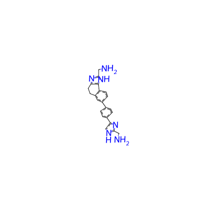 NCc1nc(-c2ccc(-c3ccc4c(c3)CCc3nc(CN)[nH]c3-4)cc2)c[nH]1